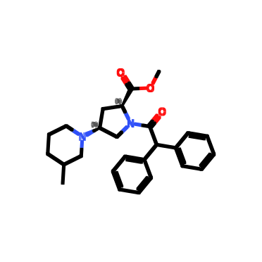 COC(=O)[C@@H]1C[C@H](N2CCCC(C)C2)CN1C(=O)C(c1ccccc1)c1ccccc1